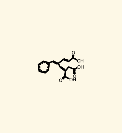 O=C(O)C=CC(=Cc1ccccc1)C=C(CC(=O)O)C(=O)O